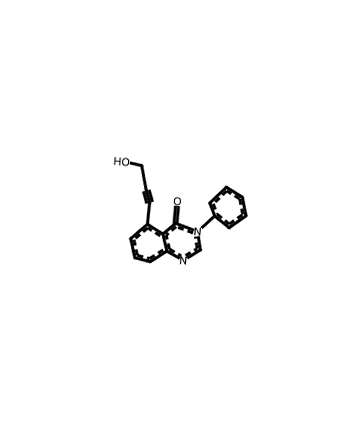 O=c1c2c(C#CCO)cccc2ncn1-c1ccccc1